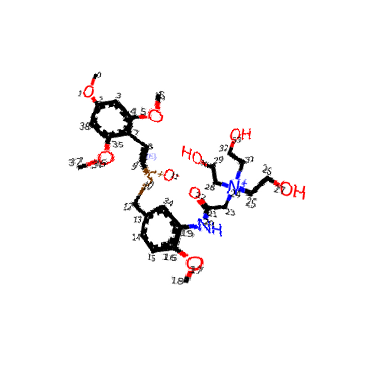 COc1cc(OC)c(/C=C/[S+]([O-])Cc2ccc(OC)c(NC(=O)C[N+](CCO)(CCO)CCO)c2)c(OC)c1